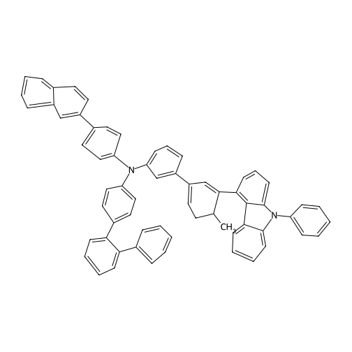 CC1CC=C(c2cccc(N(c3ccc(-c4ccc5ccccc5c4)cc3)c3ccc(-c4ccccc4-c4ccccc4)cc3)c2)C=C1c1cccc2c1c1ccccc1n2-c1ccccc1